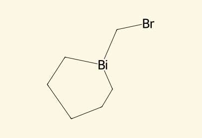 Br[CH2][Bi]1[CH2]CCC[CH2]1